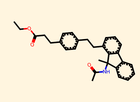 CCOC(=O)CCc1ccc(CCc2cccc3c2C(C)(NC(C)=O)c2ccccc2-3)cc1